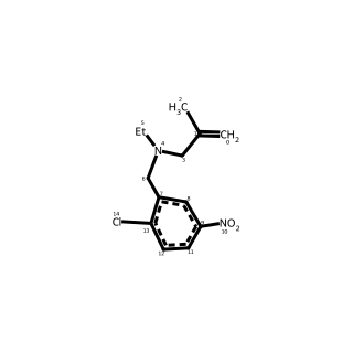 C=C(C)CN(CC)Cc1cc([N+](=O)[O-])ccc1Cl